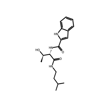 CC(C)C[CH]NC(=O)[C@@H](NC(=O)c1cc2ccccc2[nH]1)[C@@H](C)O